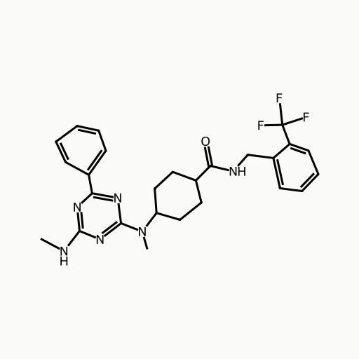 CNc1nc(-c2ccccc2)nc(N(C)C2CCC(C(=O)NCc3ccccc3C(F)(F)F)CC2)n1